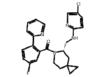 O=C(c1cc(F)ccc1-c1ccccn1)N1CCC2(CC2)C[C@H]1CNc1ccc(Cl)cn1